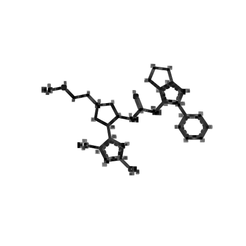 COCCN1CC(NC(=O)Nc2c3c(nn2-c2ccccc2)CCC3)C(c2sc(C)nc2C)C1